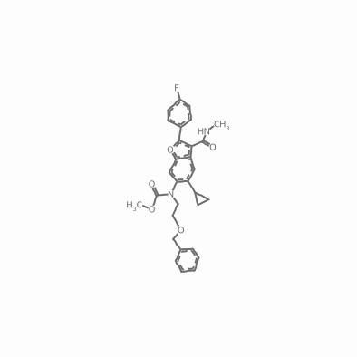 CNC(=O)c1c(-c2ccc(F)cc2)oc2cc(N(CCOCc3ccccc3)C(=O)OC)c(C3CC3)cc12